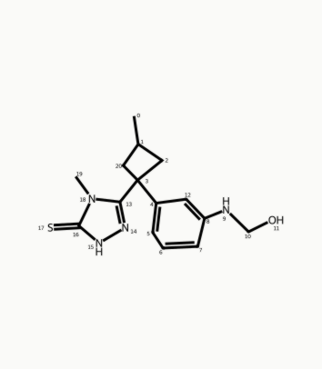 CC1CC(c2cccc(NCO)c2)(c2n[nH]c(=S)n2C)C1